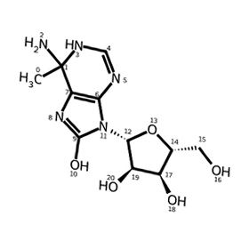 CC1(N)NC=Nc2c1nc(O)n2[C@@H]1O[C@H](CO)[C@@H](O)[C@H]1O